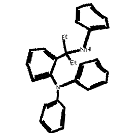 CCC(CC)(Nc1ccccc1)c1ccccc1N(c1ccccc1)c1ccccc1